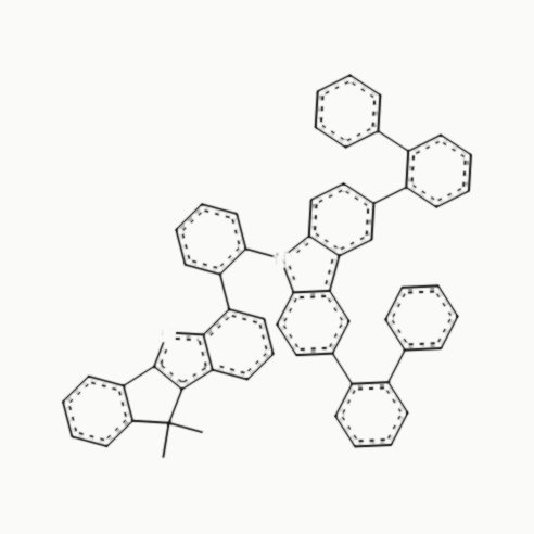 CC1(C)c2ccccc2-c2oc3c(-c4ccccc4-n4c5ccc(-c6ccccc6-c6ccccc6)cc5c5cc(-c6ccccc6-c6ccccc6)ccc54)cccc3c21